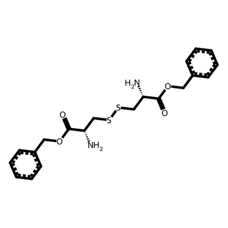 N[C@@H](CSSC[C@H](N)C(=O)OCc1ccccc1)C(=O)OCc1ccccc1